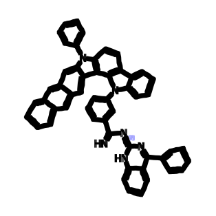 N=C(/N=c1/nc(-c2ccccc2)c2ccccc2[nH]1)c1cccc(-n2c3ccccc3c3ccc4c(c5cc6cc7ccccc7cc6cc5n4-c4ccccc4)c32)c1